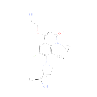 Cc1c(N2CC[C@@H]([C@H](C)N)C2)c(F)cc2c(OCCN)cc(=O)n(C3CC3)c12